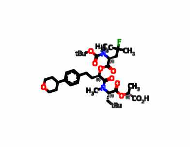 C[C@@H](OC(=O)[C@H](CC(C)(C)C)N(C)C(=O)[C@@H](CCc1ccc(C2CCOCC2)cc1)OC(=O)[C@H](CC(C)(C)F)N(C)C(=O)OC(C)(C)C)C(=O)O